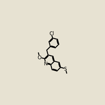 COc1nc2ccc(SC)cc2cc1Cc1cccc(Cl)c1